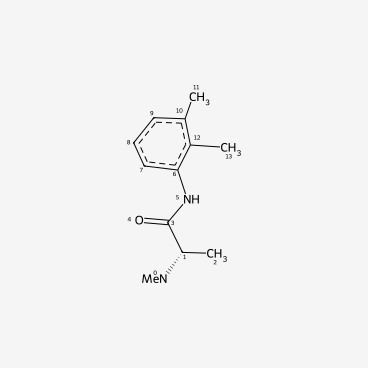 CN[C@@H](C)C(=O)Nc1cccc(C)c1C